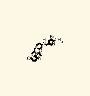 Cc1ncc(CNC2CCN(C[C@@H]3Cn4c(=O)ccc5ncc(=O)n3c54)CC2)cc1Br